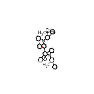 CC1C=C(n2c3ccccc3c3c(-c4ccc(N(c5ccc6c(c5)C(C)(C)c5ccccc5-6)c5ccccc5-c5ccccc5)cc4)cc4c5c(oc4c32)CCC=C5)C=CC1c1ccccc1